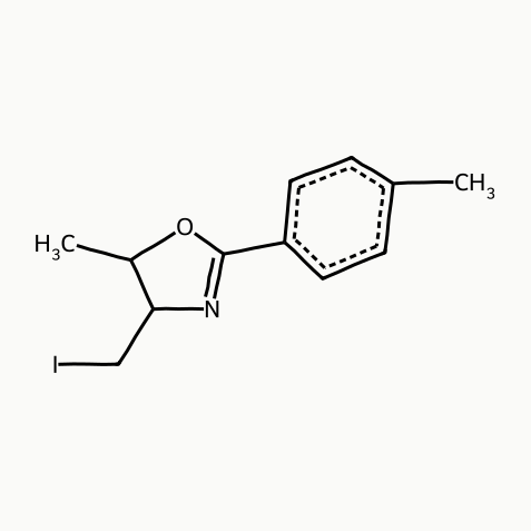 Cc1ccc(C2=NC(CI)C(C)O2)cc1